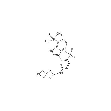 CP(C)(=O)c1cccc2c(-c3nc(NC4CC5(CNC5)C4)ncc3C(F)(F)F)c[nH]c12